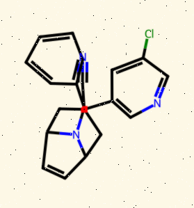 N#CC1(c2cncc(Cl)c2)CC2C=CC(C1)N2Cc1ccccc1